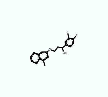 Cc1cc(OCCC(O)c2ccc(F)c(F)c2)cc2ccccc12